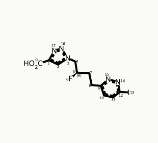 O=C(O)c1cn(C[C@H](F)CCc2ccc(I)nn2)nn1